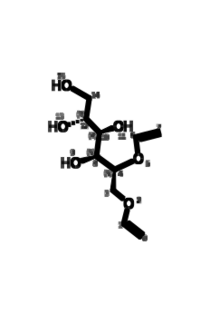 C=COC[C@H](OC=C)[C@@H](O)[C@H](O)[C@H](O)CO